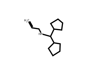 C=CCPC(C1CCCC1)C1CCCC1